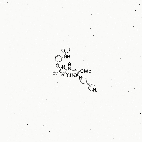 C=CC(=O)Nc1cccc(Oc2nc(Nc3ccc(N4CCC(N5CCN(C)CC5)CC4)c(OC)c3)c(C=O)nc2CC)c1